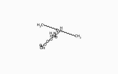 CCCCCCCCCCCCN[C@H](COCCCCCCCCCCCC)CSC[C@H](N)C(=O)NCCOCCOCCOCCC(=O)O